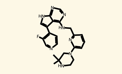 CC1(C)CN(c2cccc(CNc3ncnc4[nH]cc(-c5ccncc5F)c34)n2)CCN1